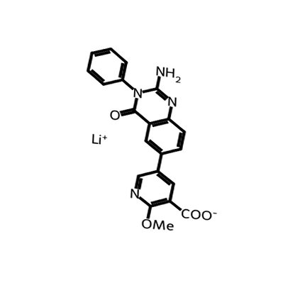 COc1ncc(-c2ccc3nc(N)n(-c4ccccc4)c(=O)c3c2)cc1C(=O)[O-].[Li+]